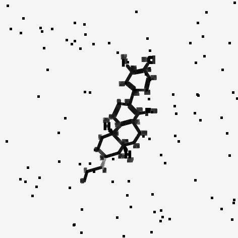 CCC[C@@H]1CC[C@@H]2c3ccc(-c4ccc(Cl)c(F)c4)c(F)c3CC[C@@H]2C1